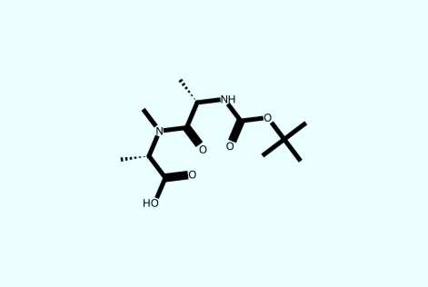 C[C@H](NC(=O)OC(C)(C)C)C(=O)N(C)[C@@H](C)C(=O)O